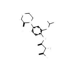 NC(=O)[C@@H](N)C(=O)Nc1ccc(N2CCOCC2=O)cc1OC(F)F